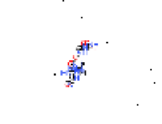 CCn1nc(C2CC2)cc1Nc1nc(C(=O)NCCOCCNc2cccc3c2CN(C2CCC(=O)NC2=O)C3=O)nc2[nH]c3cc(-c4c(C)noc4C)c(C)cc3c12